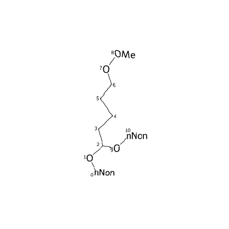 CCCCCCCCCOC(CCCCOOC)OCCCCCCCCC